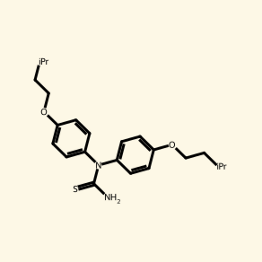 CC(C)CCOc1ccc(N(C(N)=S)c2ccc(OCCC(C)C)cc2)cc1